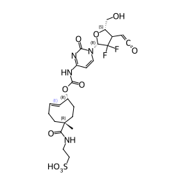 C[C@@]1(C(=O)NCCS(=O)(=O)O)CC/C=C/[C@H](OC(=O)Nc2ccn([C@@H]3O[C@H](CO)C(C=C=O)C3(F)F)c(=O)n2)CC1